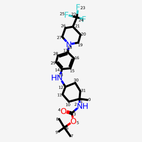 CC1(NC(=O)OC(C)(C)C)CCC(Nc2ccc(N3CCC(C(F)(F)F)CC3)cc2)CC1